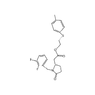 Cc1ccc(SCCOC(=O)CC2CCC(=O)N2Cc2cccc(F)c2F)cc1